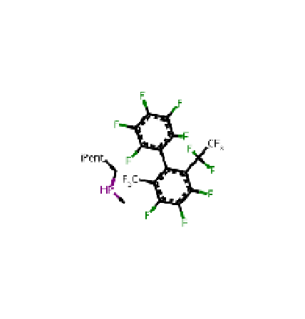 CCCC(C)CPC.Fc1c(F)c(F)c(-c2c(C(F)(F)F)c(F)c(F)c(F)c2C(F)(F)C(F)(F)F)c(F)c1F